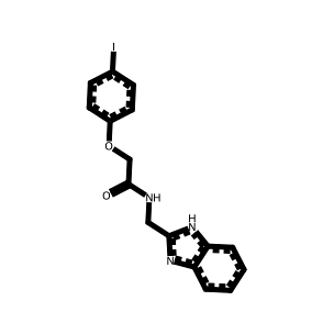 O=C(COc1ccc(I)cc1)NCc1nc2ccccc2[nH]1